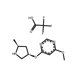 COc1cc(O[C@H]2CN[C@@H](C)C2)ncn1.O=C(O)C(F)(F)F